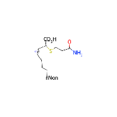 CCCCCCCCCCCC/C=C\C(SCCC(N)=O)C(=O)O